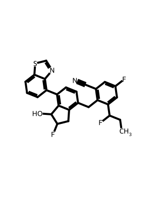 CCC(F)c1cc(F)cc(C#N)c1Cc1ccc(-c2cccc3scnc23)c2c1CC(F)C2O